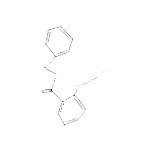 O=CCNc1ccccc1C(=O)OCc1ccccc1